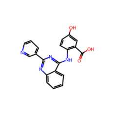 O=C(O)c1cc(O)ccc1Nc1nc(-c2cccnc2)nc2ccccc12